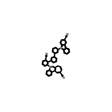 CC1=C(c2ccccc2Nc2cccc(C#N)c2-c2cccc(-c3cccc(-n4c5ccccc5c5cc(C#N)ccc54)c3)c2)C=C(C#N)C=CC1